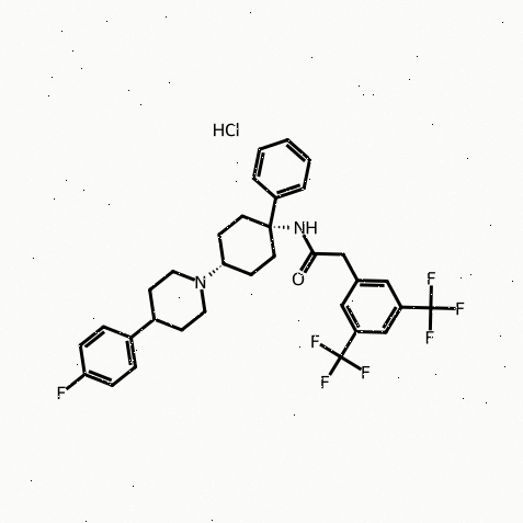 Cl.O=C(Cc1cc(C(F)(F)F)cc(C(F)(F)F)c1)N[C@]1(c2ccccc2)CC[C@H](N2CCC(c3ccc(F)cc3)CC2)CC1